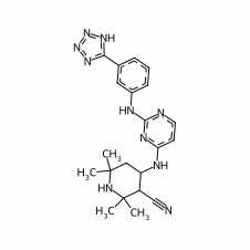 CC1(C)CC(Nc2ccnc(Nc3cccc(-c4nnn[nH]4)c3)n2)C(C#N)C(C)(C)N1